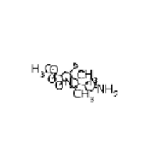 COC(=O)c1cc(C2CC2)c2c(C)c(-c3ccc(N)nc3)c(C)cn2c1=O